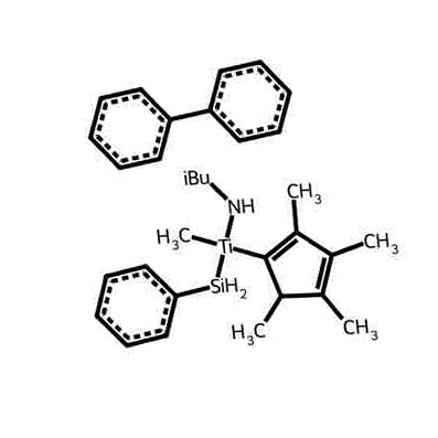 CCC(C)[NH][Ti]([CH3])([SiH2]c1ccccc1)[C]1=C(C)C(C)=C(C)C1C.c1ccc(-c2ccccc2)cc1